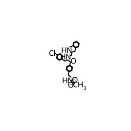 CS(=O)(=O)NCCc1ccc(C(=O)C(Cc2ccc(Cl)cc2)NCC2Cc3ccccc3CN2)cc1